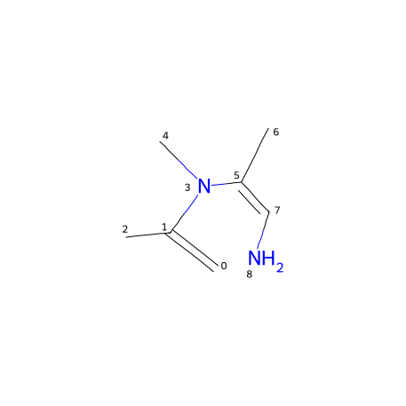 C=C(C)N(C)/C(C)=C\N